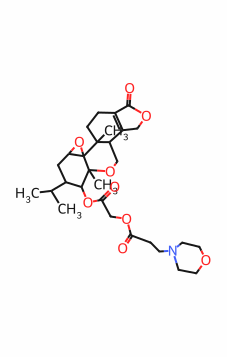 CC(C)C1CC2OC23C2(C)CCC4=C(COC4=O)C2COC3(C)C1OC(=O)COC(=O)CCN1CCOCC1